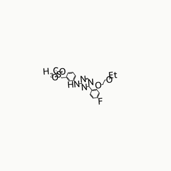 CCOCCOc1cc(F)ccc1-c1ncnc(Nc2cccc(CS(C)(=O)=O)c2)n1